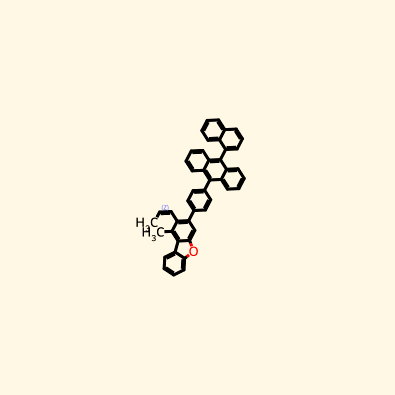 C/C=C\c1c(-c2ccc(-c3c4ccccc4c(-c4cccc5ccccc45)c4ccccc34)cc2)cc2oc3ccccc3c2c1C